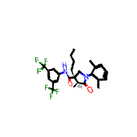 CCCC[C@@]1(C(=O)Nc2cc(C(F)(F)F)cc(C(F)(F)F)c2)CN(c2c(C)cccc2C)C(=O)[C@H]1C